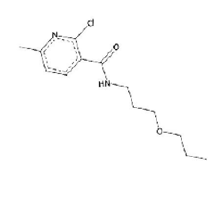 CCCOCCCNC(=O)c1ccc(C)nc1Cl